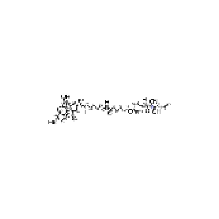 C#CCC/C(O)=C(\C#N)C(=O)Nc1ccc(OCCCCCC(=O)NCCCCCCNC(=O)c2ccc3c(c2)C(=O)OC32c3ccc(O)cc3Oc3cc(O)ccc32)cc1